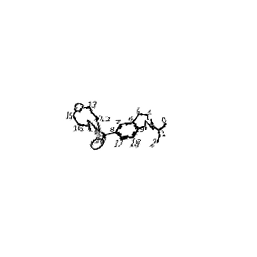 CC(C)N1CCc2cc(C(=O)N3CCOCC3)ccc21